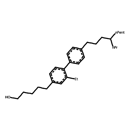 CCCCCC(CCC)CCCc1ccc(-c2ccc(CCCCCO)cc2CC)cc1